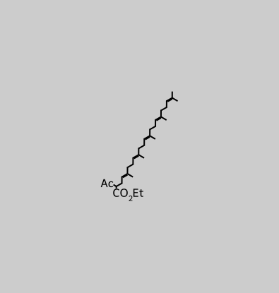 CCOC(=O)C(C/C=C(\C)CC/C=C(\C)CC/C=C(\C)CC/C=C(\C)CCC=C(C)C)C(C)=O